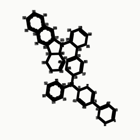 C1=CCCC(C2=CCC(N(c3ccccc3)C3C=CC(C4CC=CC=C4N4c5cc6ccccc6cc5C5CCC=CC54)=CC3)C=C2)=C1